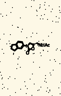 CC(=O)NC[C@H]1CN(c2ccc3c(c2)CCC3)C(=O)O1